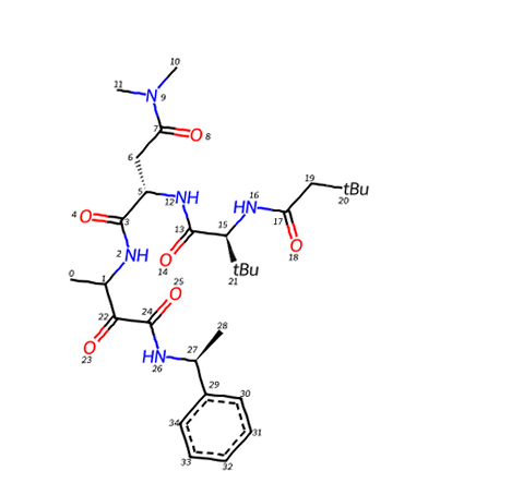 CC(NC(=O)[C@H](CC(=O)N(C)C)NC(=O)[C@@H](NC(=O)CC(C)(C)C)C(C)(C)C)C(=O)C(=O)N[C@@H](C)c1ccccc1